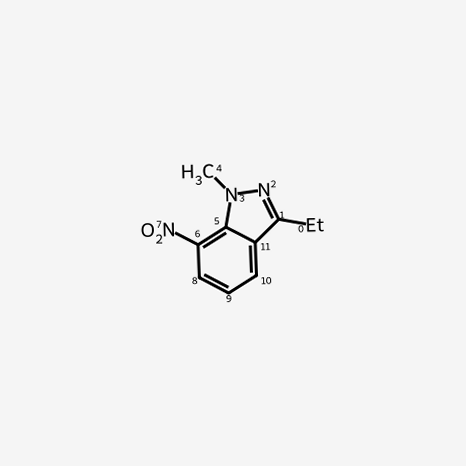 CCc1nn(C)c2c([N+](=O)[O-])cccc12